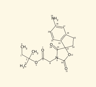 CCC(C)(C)OC(=O)CN1C(=O)OC2(CCc3cc(N)ccc32)C1=O